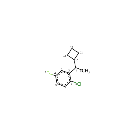 CC(c1cc(F)ccc1Cl)C1CCC1